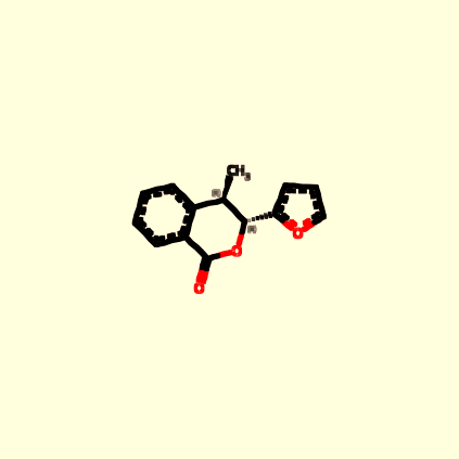 C[C@@H]1c2ccccc2C(=O)O[C@H]1c1ccco1